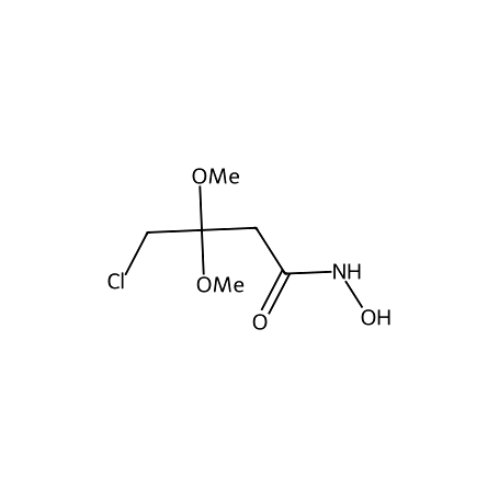 COC(CCl)(CC(=O)NO)OC